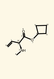 C=C[C@H](NC)C(=O)OC1CCC1